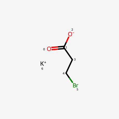 O=C([O-])CCBr.[K+]